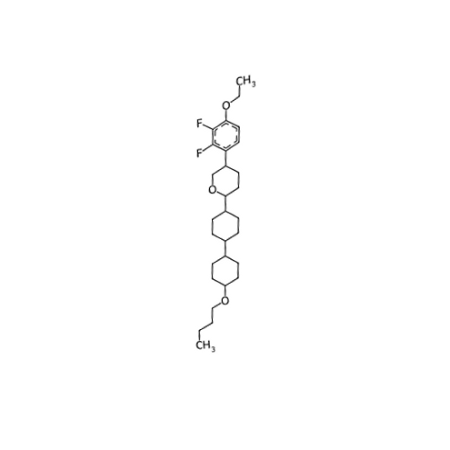 CCCCOC1CCC(C2CCC(C3CCC(c4ccc(OCC)c(F)c4F)CO3)CC2)CC1